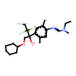 CCN(C)/C=N/c1cc(C)c(C(O)(COC2CCCCC2)C(F)(F)CF)cc1C